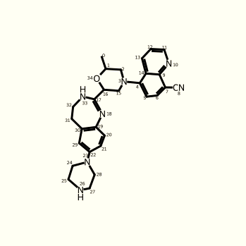 CC1CN(c2ccc(C#N)c3ncccc23)CC(C2=Nc3ccc(N4CCNCC4)cc3CCN2)O1